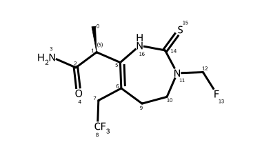 C[C@H](C(N)=O)C1=C(CC(F)(F)F)CCN(CF)C(=S)N1